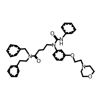 O=C(CCCN(C(=O)Nc1ccccc1)c1cccc(OCCN2CCOCC2)c1)N(CCc1ccccc1)Cc1ccccc1